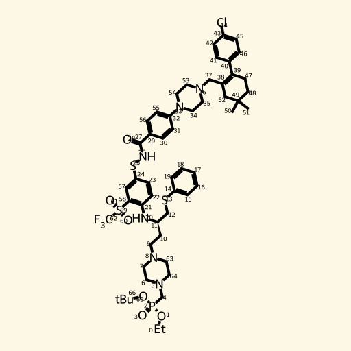 CCOP(=O)(CN1CCN(CC[C@H](CSc2ccccc2)Nc2ccc(SNC(=O)c3ccc(N4CCN(CC5=C(c6ccc(Cl)cc6)CCC(C)(C)C5)CC4)cc3)cc2S(=O)(=O)C(F)(F)F)CC1)OC(C)(C)C